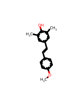 COc1ccc(/C=C/c2cc(C)c(O)c(C)c2)cc1